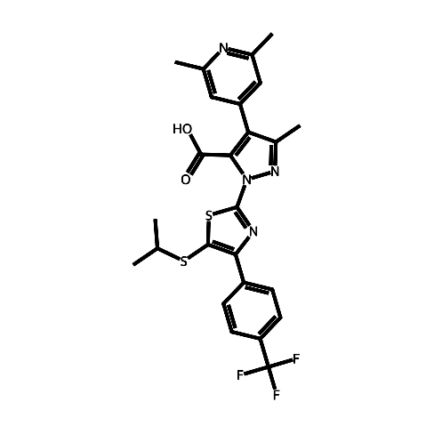 Cc1cc(-c2c(C)nn(-c3nc(-c4ccc(C(F)(F)F)cc4)c(SC(C)C)s3)c2C(=O)O)cc(C)n1